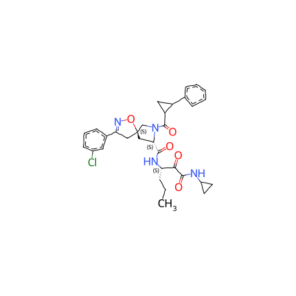 CCC[C@H](NC(=O)[C@@H]1C[C@]2(CC(c3cccc(Cl)c3)=NO2)CN1C(=O)C1CC1c1ccccc1)C(=O)C(=O)NC1CC1